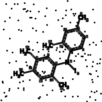 Cc1ccc(N(I)c2cc(C)c(C)cc2C)c(C)c1